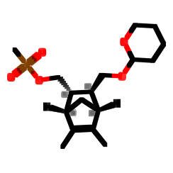 CC1=C(C)[C@@H]2C[C@H]1[C@H](COS(C)(=O)=O)[C@H]2COC1CCCCO1